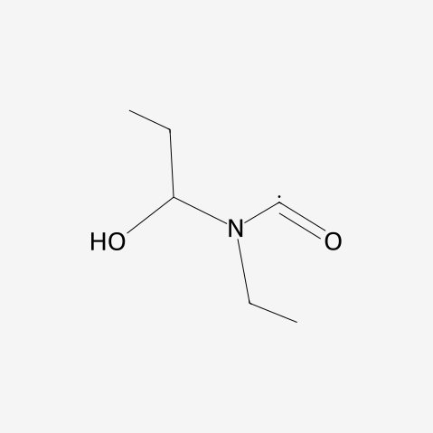 CCC(O)N([C]=O)CC